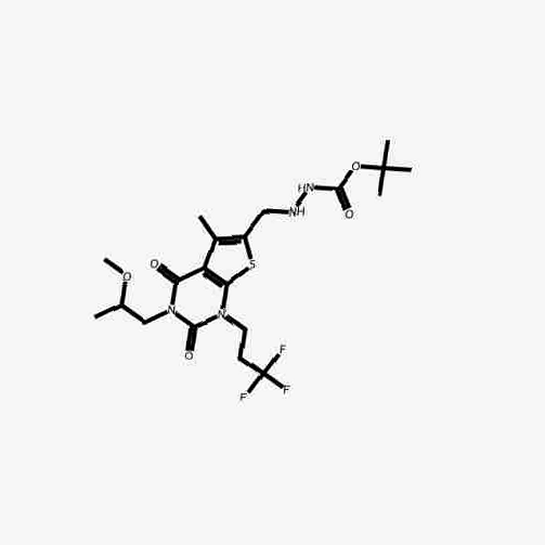 COC(C)Cn1c(=O)c2c(C)c(CNNC(=O)OC(C)(C)C)sc2n(CCC(F)(F)F)c1=O